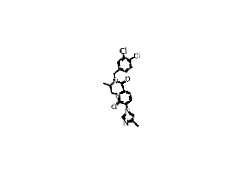 Cc1cn(-c2ccc3n(c2=O)CC(C)N(Cc2ccc(Cl)c(Cl)c2)C3=O)cn1